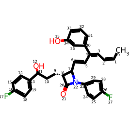 C\C=C/C=C(\C=C\C1[C@@H](CCC(O)c2ccc(F)cc2)C(=O)N1c1ccc(F)cc1)c1cccc(O)c1